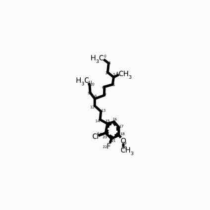 CCCC(C)CCCC(CCC)CCCc1ccc(OC)c(F)c1Cl